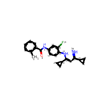 Cc1ccccc1C(=O)Nc1ccc(N/C(=C\C(=N)C2CC2)C2CC2)c(F)c1